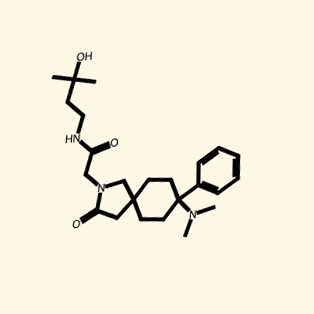 CN(C)C1(c2ccccc2)CCC2(CC1)CC(=O)N(CC(=O)NCCC(C)(C)O)C2